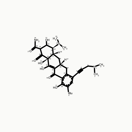 CN(C)CC#Cc1cc(C(C)(C)C)c(O)c2c1C[C@H]1C[C@H]3[C@H](N(C)C)C(O)C(C(N)=O)C(=O)[C@@]3(O)C(O)=C1C2=O